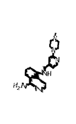 CN1CCN(c2cc(CNc3cccc4c(N)nccc34)ccn2)CC1